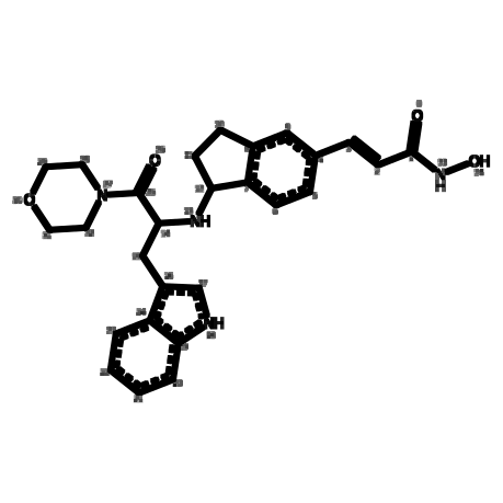 O=C(C=Cc1ccc2c(c1)CCC2NC(Cc1c[nH]c2ccccc12)C(=O)N1CCOCC1)NO